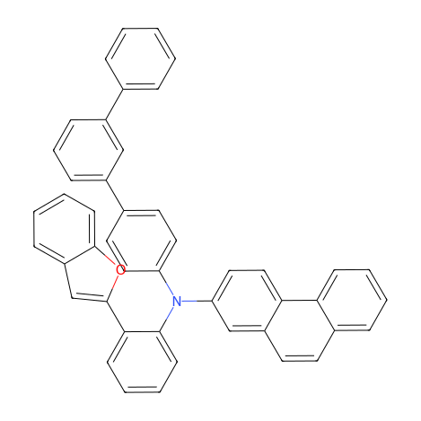 c1ccc(-c2cccc(-c3ccc(N(c4ccc5c(ccc6ccccc65)c4)c4ccccc4-c4cc5ccccc5o4)cc3)c2)cc1